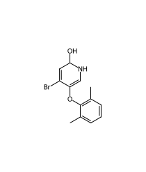 Cc1cccc(C)c1OC1=CNC(O)C=C1Br